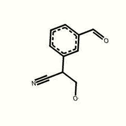 N#CC(C[O])c1cccc(C=O)c1